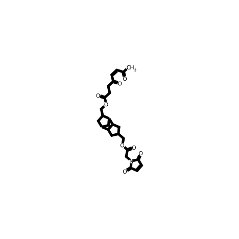 CC(=O)/C=C\C(=O)CCC(=O)OCC1CC2CC1C1CC(COC(=O)CN3C(=O)C=CC3=O)CC21